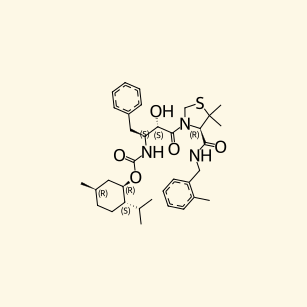 Cc1ccccc1CNC(=O)[C@H]1N(C(=O)[C@@H](O)[C@H](Cc2ccccc2)NC(=O)O[C@@H]2C[C@H](C)CC[C@H]2C(C)C)CSC1(C)C